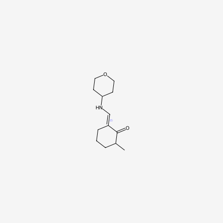 CC1CCC/C(=C\NC2CCOCC2)C1=O